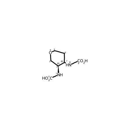 O=C(O)N[C@H]1COCC[C@H]1NC(=O)O